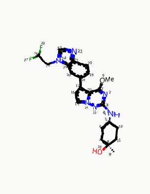 COc1nc(N[C@H]2CC[C@](C)(O)CC2)nn2ccc(-c3ccc4ncn(CC(F)F)c4c3)c12